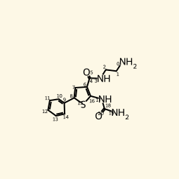 NCCNC(=O)c1cc(-c2ccccc2)sc1NC(N)=O